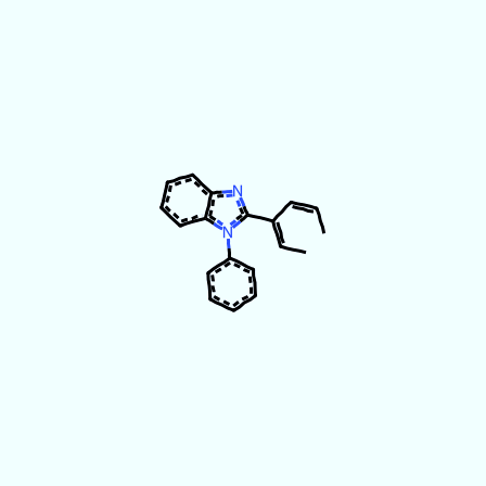 C/C=C\C(=C/C)c1nc2ccccc2n1-c1ccccc1